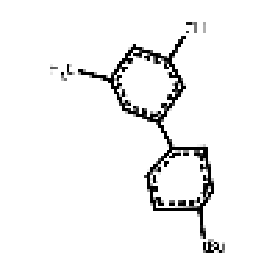 Cc1cc(C)cc(-c2ccc(C(C)(C)C)cc2)c1